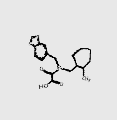 CC1CCCCC1CN(Cc1ccc2scnc2c1)C(=O)C(=O)O